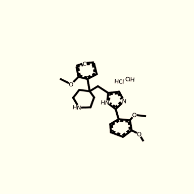 COc1ccccc1C1(Cc2cnc(-c3cccc(OC)c3OC)[nH]2)CCNCC1.Cl.Cl